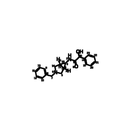 O=C(N[C@H]1[C@@H]2CN(Cc3ccccc3)C[C@@H]21)C(O)c1ccccc1